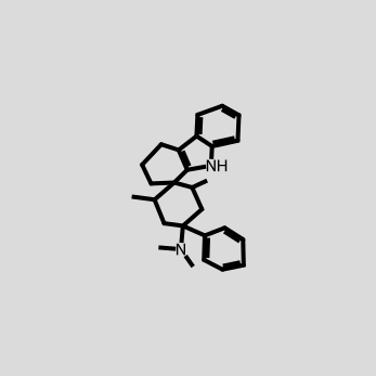 CC1CC(c2ccccc2)(N(C)C)CC(C)C12CCCc1c2[nH]c2ccccc12